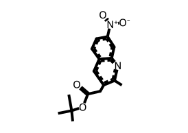 Cc1nc2cc([N+](=O)[O-])ccc2cc1CC(=O)OC(C)(C)C